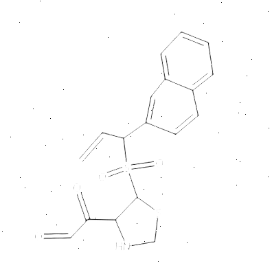 C=CC(c1ccc2ccccc2c1)S(=O)(=O)C1SCNC1C(=O)C=O